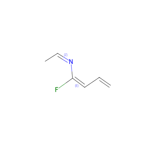 C=C/C=C(F)\N=C/C